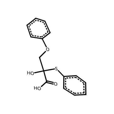 O=C(O)C(O)(COc1ccccc1)Sc1ccccc1